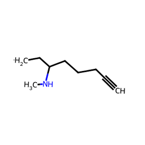 C#CCCCC(C[CH2])NC